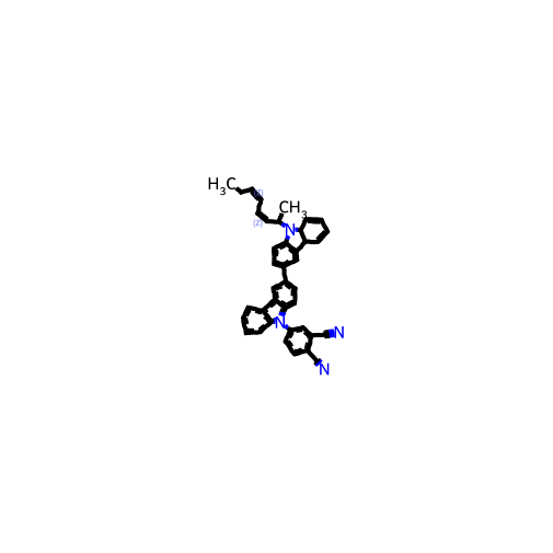 CC/C=C\C=C/C(C)N1c2ccc(-c3ccc4c(c3)c3ccccc3n4-c3ccc(C#N)c(C#N)c3)cc2C2C=CC=CC21